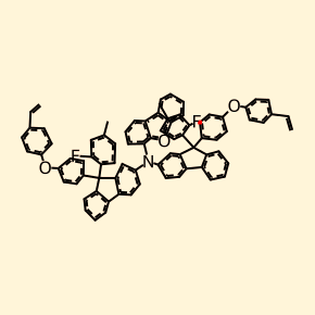 C=Cc1ccc(Oc2ccc(C3(c4ccc(C)cc4F)c4ccccc4-c4ccc(N(c5ccc6c(c5)C(c5ccc(Oc7ccc(C=C)cc7)cc5)(c5ccc(C)cc5F)c5ccccc5-6)c5cccc6c5oc5ccccc56)cc43)cc2)cc1